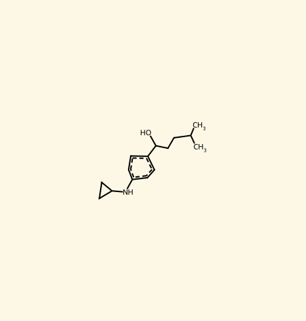 CC(C)CCC(O)c1ccc(NC2CC2)cc1